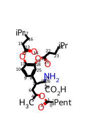 CCCC(C)C(=O)OC(C)CC(c1ccc(OC(=O)CCC(C)C)c(OC(=O)CCC(C)C)c1)[C@H](N)C(=O)O